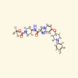 Cc1ccc(N2CCC(Oc3ccn4cc(C(=O)NC5CCN(C(=O)OC(C)(C)C)CC5)nc4c3)CC2)cc1